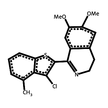 COc1cc2c(cc1OC)C(c1sc3cccc(C)c3c1Cl)=NCC2